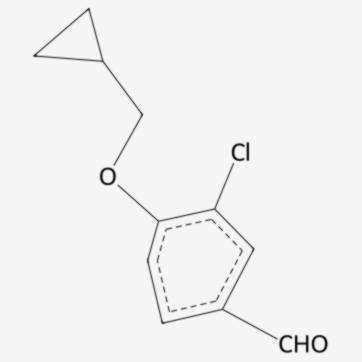 O=Cc1ccc(OCC2CC2)c(Cl)c1